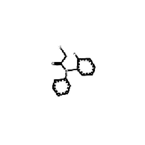 O=C(C[S])N(c1ccccc1)c1ccccc1F